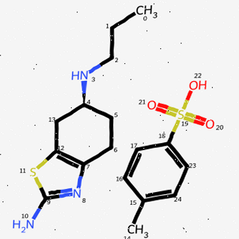 CCCN[C@H]1CCc2nc(N)sc2C1.Cc1ccc(S(=O)(=O)O)cc1